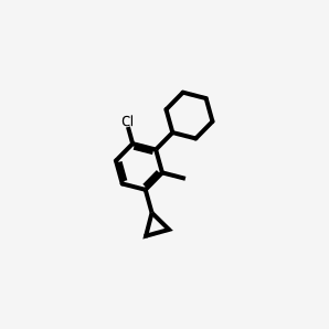 Cc1c(C2CC2)ccc(Cl)c1C1CCCCC1